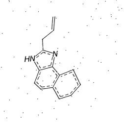 C=CCc1nc2c(ccc3ccccc32)[nH]1